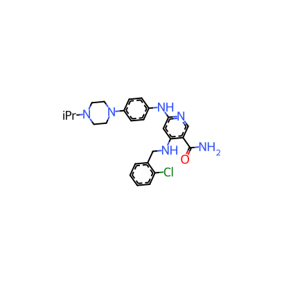 CC(C)N1CCN(c2ccc(Nc3cc(NCc4ccccc4Cl)c(C(N)=O)cn3)cc2)CC1